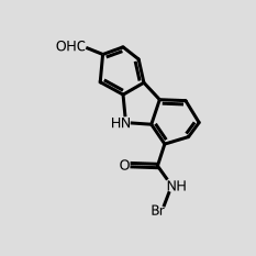 O=Cc1ccc2c(c1)[nH]c1c(C(=O)NBr)cccc12